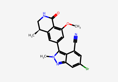 COc1cc(-c2c3c(C#N)cc(Br)cc3nn2C)cc2c1C(=O)NC[C@@H]2C